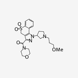 COCCCN1CCC(n2nc(C(=O)N3CCOCC3)c3c2-c2ccccc2S(=O)(=O)C3)C1